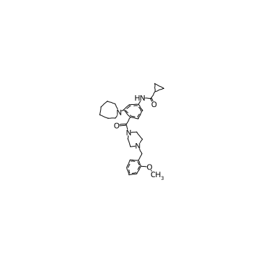 COc1ccccc1CN1CCN(C(=O)c2ccc(NC(=O)C3CC3)cc2N2CCCCCC2)CC1